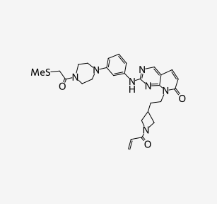 C=CC(=O)N1CC(CCn2c(=O)ccc3cnc(Nc4cccc(N5CCN(C(=O)CSC)CC5)c4)nc32)C1